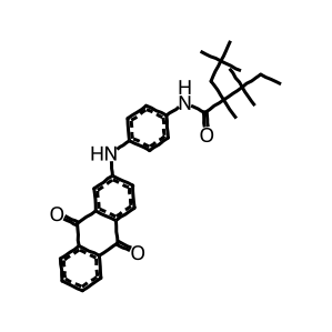 CCC(C)(C)C(C)(CC(C)(C)C)C(=O)Nc1ccc(Nc2ccc3c(c2)C(=O)c2ccccc2C3=O)cc1